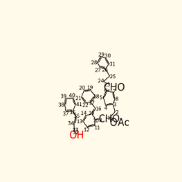 CC(=O)OCCc1ccccc1.O=CC1C=CC=CC1=Cc1ccccc1.O=CCCc1ccccc1.OCC=Cc1ccccc1